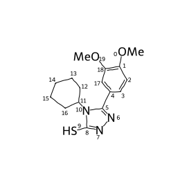 COc1ccc(-c2nnc(S)n2C2CCCCC2)cc1OC